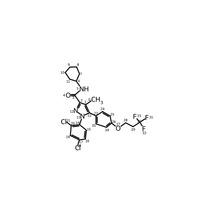 Cc1c(C(=O)NC2CCCCC2)nn(-c2ccc(Cl)cc2Cl)c1-c1ccc(OCCC(F)(F)F)cc1